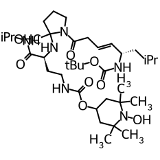 CC(C)C[C@@H](/C=C/CC(=O)N1CCCC1(C=O)N[C@@H](CCNC(=O)OC1CC(C)(C)N(O)C(C)(C)C1)C(=O)NC(C)C)NC(=O)OC(C)(C)C